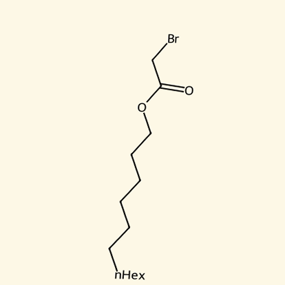 CCCCCCCCCCCCOC(=O)CBr